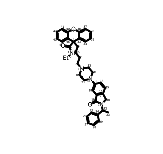 CCNC(=O)C1(CCCCN2CCN(c3ccc4c(c3)C(=O)N(C(C)c3ccccc3)C4)CC2)c2ccccc2Oc2ccccc21